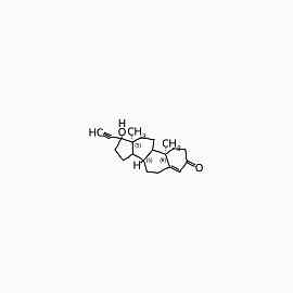 C#CC1(O)CCC2[C@H]3CCC4=CC(=O)CC[C@]4(C)C3CC[C@@]21C